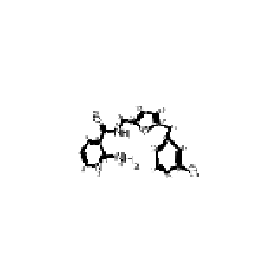 Nc1ncccc1C(=O)NCc1ccc(Cc2cccc(Cl)c2)o1